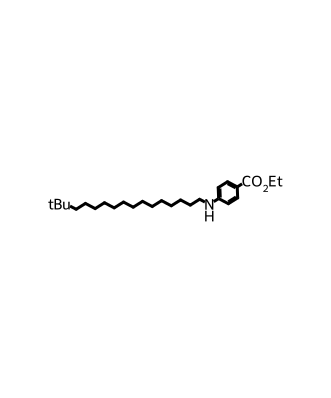 CCOC(=O)c1ccc(NCCCCCCCCCCCCCCC(C)(C)C)cc1